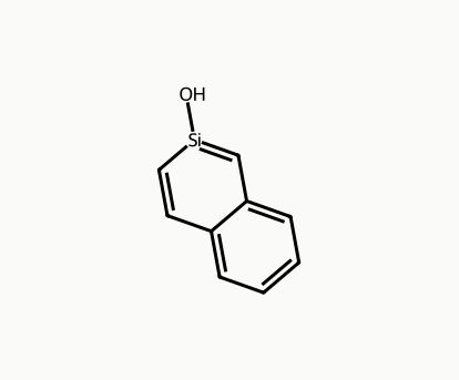 O[si]1ccc2ccccc2c1